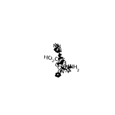 Nc1nc(/C(=N/OC2CCCC2)C(=O)NC2C(=O)N3C(C(=O)O)=C(CSc4ccc5nnnn5n4)CS[C@H]23)ns1